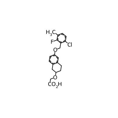 Cc1ccc(Cl)c(COc2ccc3c(c2)CCC(OCC(=O)O)C3)c1F